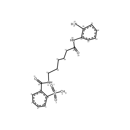 CS(=O)(=O)c1ccccc1C(=O)NCCCCCC(=O)Nc1ccccc1N